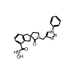 O=C(NO)c1cccc2c1CC1(CCN(Cc3cn(-c4ccccc4)nn3)C1=O)C2